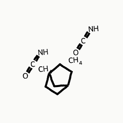 C.C.C1CC2CCC1C2.N=C=O.N=C=O